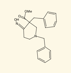 COC(=O)C1(Cc2ccccc2)CN(Cc2ccccc2)CC/C1=N/O